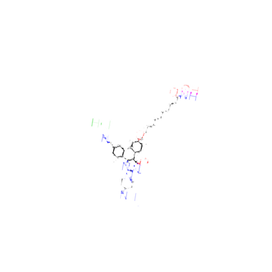 Cl.Cn1c(N2CCC(N)CC2)nc(-c2ccc(C#N)cc2)c(-c2ccc(OCCCCCCCCCC(=O)NO)cc2)c1=O